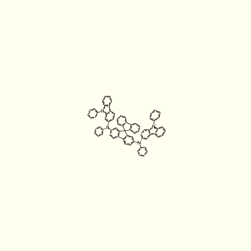 c1ccc(N(c2ccc3c(c2)C2(c4ccccc4-c4ccccc42)c2cc(N(c4ccccc4)c4ccc5c6ccccc6n(-c6ccccc6)c5c4)ccc2-3)c2ccc3c(c2)c2ccccc2n3-c2ccccc2)cc1